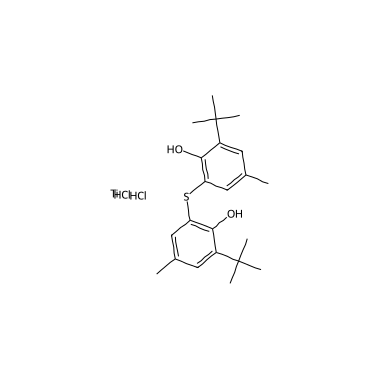 Cc1cc(Sc2cc(C)cc(C(C)(C)C)c2O)c(O)c(C(C)(C)C)c1.Cl.Cl.[Ti]